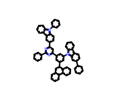 c1ccc(-c2ccc3c4ccccc4n(-c4cc(-c5cc(-c6ccc7c(c6)c6ccccc6n7-c6ccccc6)nc(-c6ccccc6)n5)cc(-c5cc6ccccc6c6ccccc56)c4)c3c2)cc1